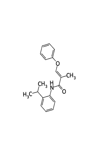 C/C(=C\Oc1ccccc1)C(=O)Nc1ccccc1C(C)C